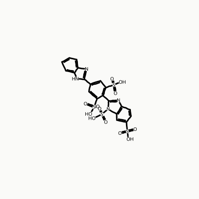 O=S(=O)(O)c1ccc2nc(-c3c(S(=O)(=O)O)cc(-c4nc5ccccc5[nH]4)cc3S(=O)(=O)O)n(S(=O)(=O)O)c2c1